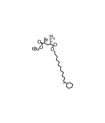 CC(CC(Br)C(=O)OC(C)(C)C)C(=O)OCCCCCCCCCCCSC1CCCCC1